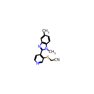 Cc1ccc2c(c1)nc(-c1ccncc1SCC#N)n2C